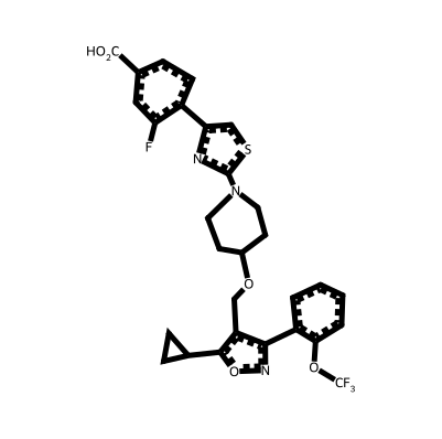 O=C(O)c1ccc(-c2csc(N3CCC(OCc4c(-c5ccccc5OC(F)(F)F)noc4C4CC4)CC3)n2)c(F)c1